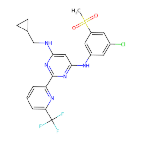 CS(=O)(=O)c1cc(Cl)cc(Nc2cc(NCC3CC3)nc(-c3cccc(C(F)(F)F)n3)n2)c1